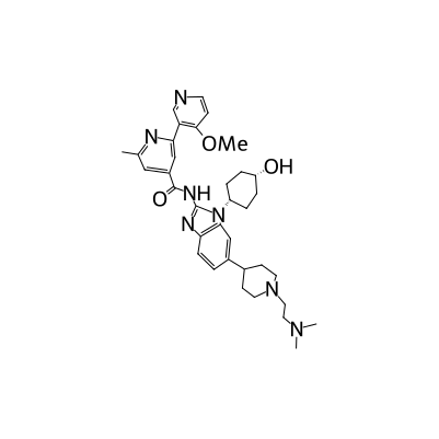 COc1ccncc1-c1cc(C(=O)Nc2nc3ccc(C4CCN(CCN(C)C)CC4)cc3n2[C@H]2CC[C@@H](O)CC2)cc(C)n1